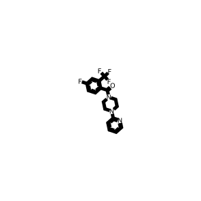 O=C(c1ccc(F)cc1C(F)(F)F)N1CCN(c2ccccn2)CC1